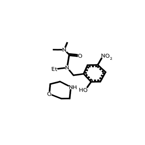 C1COCCN1.CCN(Cc1cc([N+](=O)[O-])ccc1O)C(=O)N(C)C